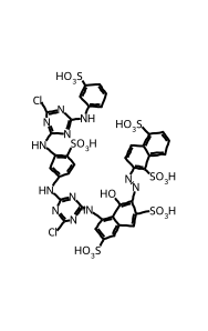 O=S(=O)(O)c1cccc(Nc2nc(Cl)nc(Nc3cc(Nc4nc(Cl)nc(Nc5cc(S(=O)(=O)O)cc6cc(S(=O)(=O)O)c(N=Nc7ccc8c(S(=O)(=O)O)cccc8c7S(=O)(=O)O)c(O)c56)n4)ccc3S(=O)(=O)O)n2)c1